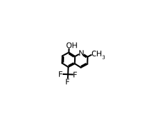 Cc1ccc2c(C(F)(F)F)ccc(O)c2n1